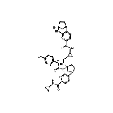 O=C(NC1CC1)c1ccc2c(n1)N(C(=O)Nc1ccc(Cl)cn1)[C@@]1(NCC3CC3NC(=O)c3ccc4c(n3)N[C@H]3CCN4C3)CCN2C1